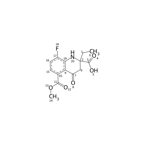 CCC1(C(=O)O)CC(=O)c2c(C(=O)OC)ccc(F)c2N1